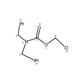 CC(C)CN(CC(C)C)C(=O)OCCl